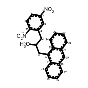 CC(Cc1cc([N+](=O)[O-])ccc1[N+](=O)[O-])Cc1c2ccccc2cc2ccccc12